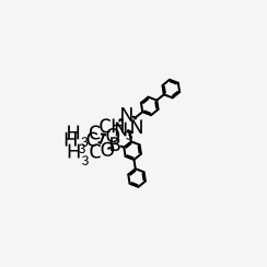 CC1(C)OB(c2cc(-c3ccccc3)ccc2-c2ncnc(-c3ccc(-c4ccccc4)cc3)n2)OC1(C)C